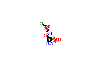 Nc1ccc(C(=O)NCCS(=O)(=O)CCCl)cc1S(=O)(=O)O